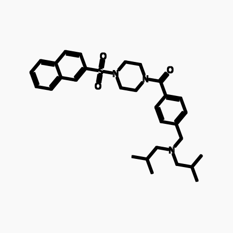 CC(C)CN(Cc1ccc(C(=O)N2CCN(S(=O)(=O)c3ccc4ccccc4c3)CC2)cc1)CC(C)C